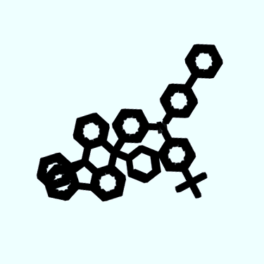 CC(C)(C)c1ccc(N(c2ccc(-c3ccccc3)cc2)c2cccc(C3(C4C=CC=CC4)c4ccccc4C4(c5ccccc5)c5ccccc5-c5cccc3c54)c2)cc1